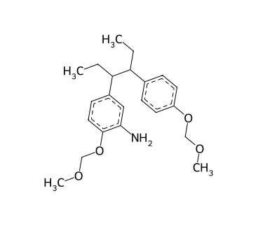 CCC(c1ccc(OCOC)cc1)C(CC)c1ccc(OCOC)c(N)c1